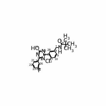 CC(C)(C)C(=O)NCc1ccc(Cl)c(-c2nc(O)nc(-c3cccc(F)c3)n2)c1